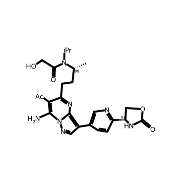 CC(=O)c1c(CC[C@@H](C)N(C(=O)CO)C(C)C)nc2c(-c3ccc([C@H]4COC(=O)N4)nc3)cnn2c1N